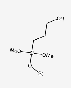 CCO[Si](CCCO)(OC)OC